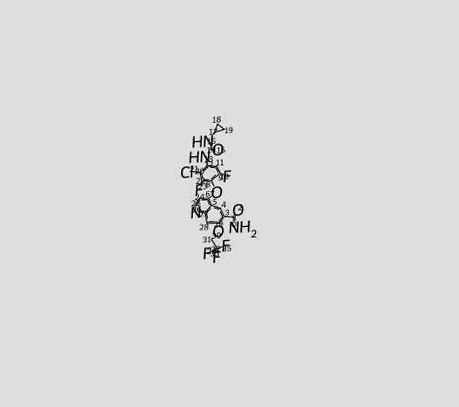 NC(=O)c1cc2c(Oc3c(F)cc(NC(=O)NC4CC4)c(Cl)c3F)ccnc2cc1OCC(F)(F)F